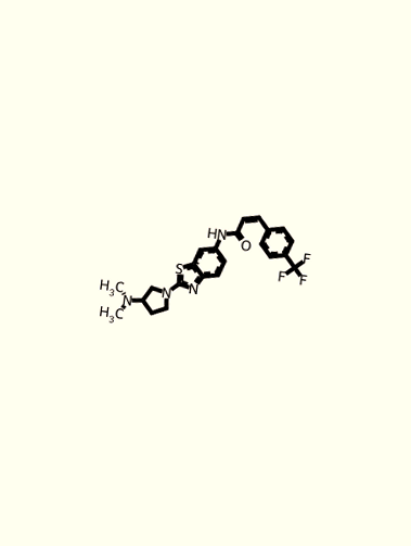 CN(C)C1CCN(c2nc3ccc(NC(=O)/C=C\c4ccc(C(F)(F)F)cc4)cc3s2)C1